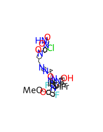 COCOc1cc(-c2ncc3c(N4CCC[C@@](C)(O)C4)nc(OCC4(CN5CCN(CCCC6CCN(C(=O)c7ccc(Cl)c(N8CCC(=O)NC8=O)c7)CC6)CC5)CC4)nc3c2F)c2c(C#C[Si](C(C)C)(C(C)C)C(C)C)c(F)ccc2c1